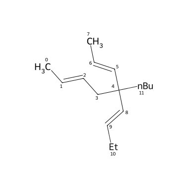 CC=CCC(C=CC)(C=CCC)CCCC